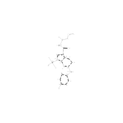 COCC(C)NC(=O)c1cn(C(C)(C)C)c2nc(Nc3ccc(C)cc3)ccc12